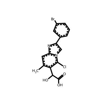 Cc1cc2nc(-c3cccc(Br)c3)cn2c(Cl)c1C(O)C(=O)O